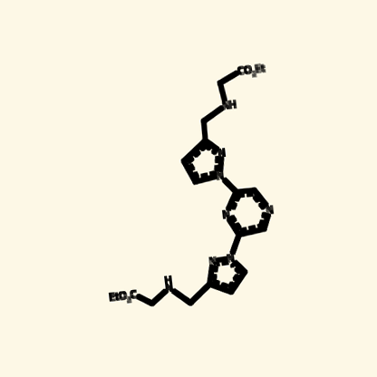 CCOC(=O)CNCc1ccn(-c2cncc(-n3ccc(CNCC(=O)OCC)n3)n2)n1